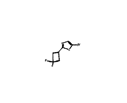 FC1(F)CC(c2ncc(Br)s2)C1